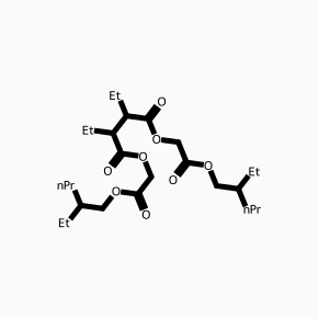 CCCC(CC)COC(=O)COC(=O)C(CC)C(CC)C(=O)OCC(=O)OCC(CC)CCC